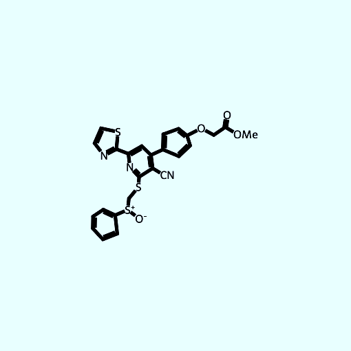 COC(=O)COc1ccc(-c2cc(-c3nccs3)nc(SC[S+]([O-])c3ccccc3)c2C#N)cc1